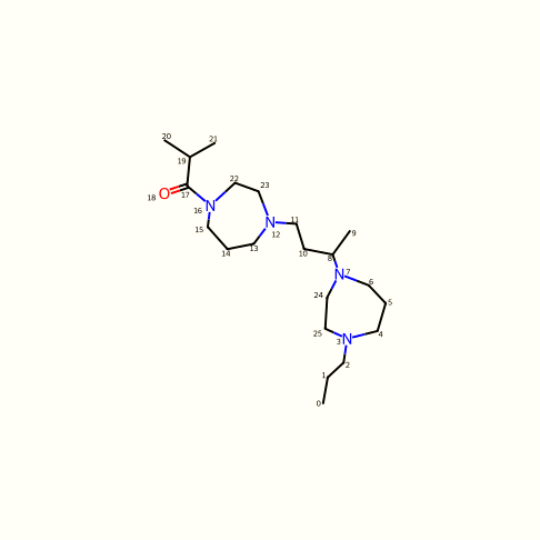 CCCN1CCCN(C(C)CCN2CCCN(C(=O)C(C)C)CC2)CC1